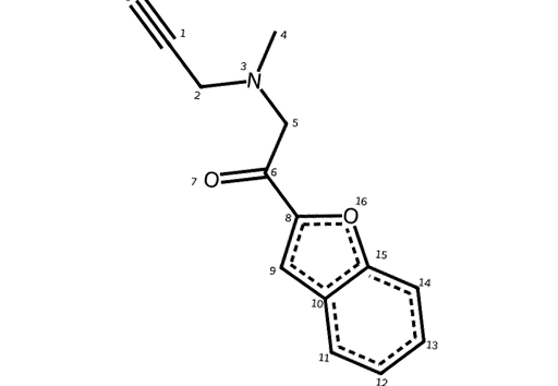 C#CCN(C)CC(=O)c1cc2ccccc2o1